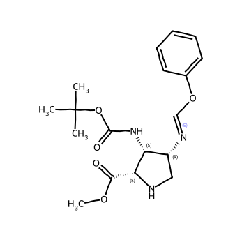 COC(=O)[C@H]1NC[C@@H](/N=C/Oc2ccccc2)[C@H]1NC(=O)OC(C)(C)C